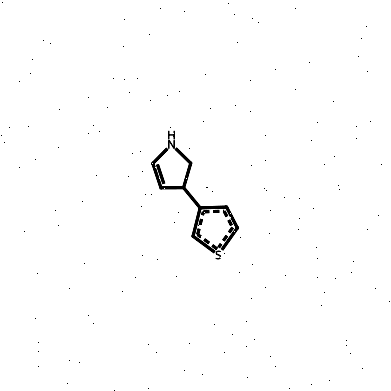 C1=CC(c2ccsc2)CN1